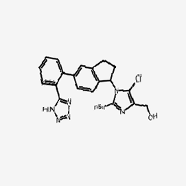 CCCCc1nc(CO)c(Cl)n1C1CCc2cc(-c3ccccc3-c3nnn[nH]3)ccc21